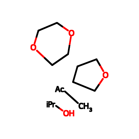 C1CCOC1.C1COCCO1.CC(C)=O.CC(C)O